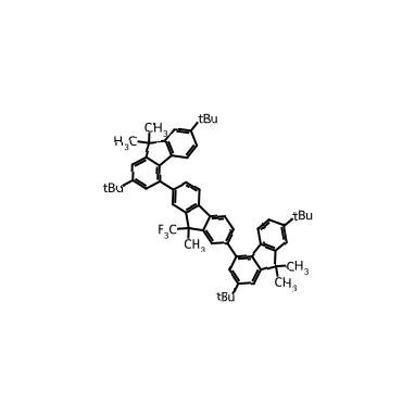 CC(C)(C)c1ccc2c(c1)C(C)(C)c1cc(C(C)(C)C)cc(-c3ccc4c(c3)C(C)(C(F)(F)F)c3cc(-c5cc(C(C)(C)C)cc6c5-c5ccc(C(C)(C)C)cc5C6(C)C)ccc3-4)c1-2